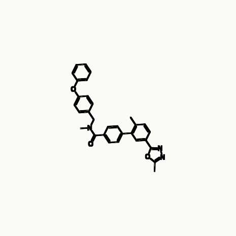 Cc1nnc(-c2ccc(C)c(-c3ccc(C(=O)N(C)Cc4ccc(Oc5ccccc5)cc4)cc3)c2)o1